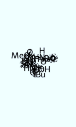 COC(=O)C(CCCCNC(=O)OCc1ccccc1)NC(=O)[C@@H]1[C@@H]2C(CN1C(=O)[C@H](CCCO)NC(=O)OC(C)(C)C)C2(C)C